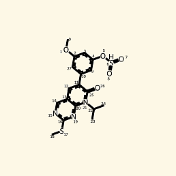 COc1cc(O[SH](=O)=O)cc(-c2cc3cnc(SC)nc3n(C(C)C)c2=O)c1